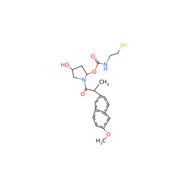 COc1ccc2cc(C(C)C(=O)N3CC(O)CC3OC(=O)NCCS)ccc2c1